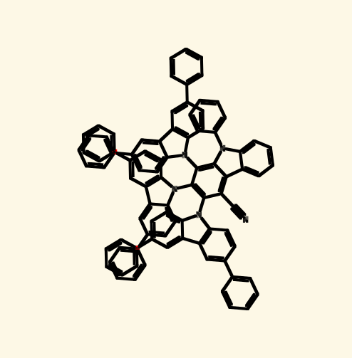 N#Cc1c(-n2c3ccc(-c4ccccc4)cc3c3cc(-c4ccccc4)ccc32)c(-n2c3ccc(-c4ccccc4)cc3c3cc(-c4ccccc4)ccc32)c(-n2c3ccc(-c4ccccc4)cc3c3cc(-c4ccccc4)ccc32)c2c1c1ccccc1n2-c1ccccc1